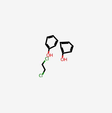 ClCCCl.Oc1ccccc1.Oc1ccccc1